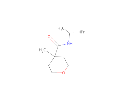 CC(C)[C@@H](C)NC(=O)C1(C)CCOCC1